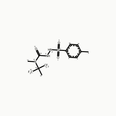 Cc1ccc(S(=O)(=O)NNC(=O)N(C)C(C)(C(F)(F)F)C(F)(F)F)cc1